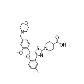 COc1cc(CN2CCOCC2)ccc1COc1ccc(C)cc1-c1csc(N2CCC(C(=O)O)CC2)n1